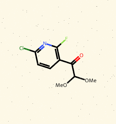 COC(OC)C(=O)c1ccc(Cl)nc1F